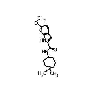 COc1ccc2cc(C(=O)NC3CCC[Si](C)(C)CC3)[nH]c2n1